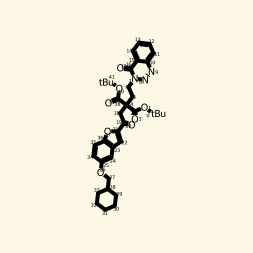 CC(C)(C)OC(=O)C(CCn1nnc2ccccc2c1=O)(CC(=O)c1cc2cc(OCC3CCCCC3)ccc2o1)C(=O)OC(C)(C)C